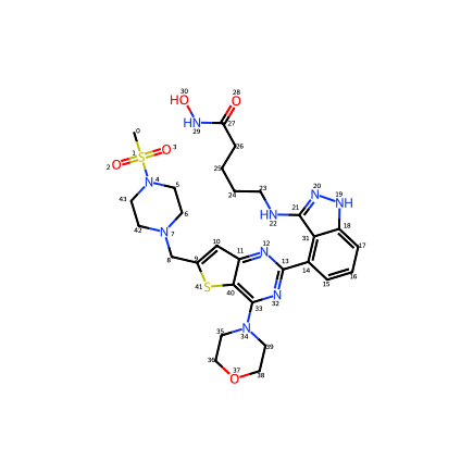 CS(=O)(=O)N1CCN(Cc2cc3nc(-c4cccc5[nH]nc(NCCCCC(=O)NO)c45)nc(N4CCOCC4)c3s2)CC1